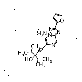 CC(C)C(O)(C#CC1=C[N+]2(N)N=C(c3ccco3)N=C2C=N1)C(C)C